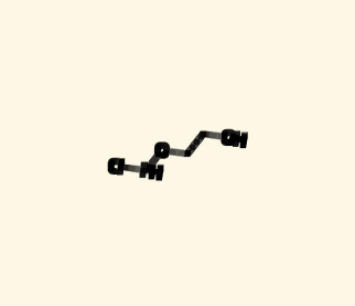 OCCOPCl